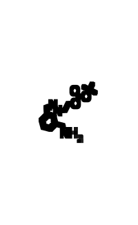 CC(C)(C)OC(=O)OCCn1ncc2cccc(CN)c21